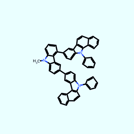 Cn1c2ccc(-c3ccc4c(c3)c3c5ccccc5ccc3n4-c3ccccc3)cc2c2c(-c3ccc4c(c3)c3ccc5ccccc5c3n4-c3ccccc3)cccc21